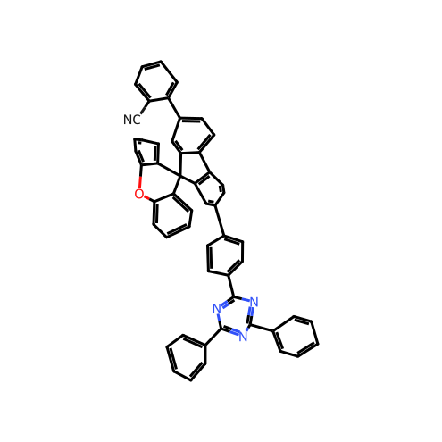 N#Cc1ccccc1-c1ccc2c(c1)C1(c3ccccc3Oc3ccccc31)c1cc(-c3ccc(-c4nc(-c5ccccc5)nc(-c5ccccc5)n4)cc3)ccc1-2